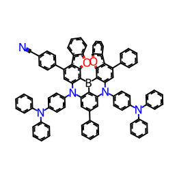 N#Cc1ccc(-c2cc3c(c4oc5ccccc5c24)B2c4c(cc(-c5ccccc5)cc4N3c3ccc(N(c4ccccc4)c4ccccc4)cc3)N(c3ccc(N(c4ccccc4)c4ccccc4)cc3)c3cc(-c4ccccc4)c4c(oc5ccccc54)c32)cc1